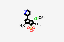 CC1=C2C(=CC(C)=C2S(=O)(=O)O)C(c2cccnc2)=C1.[Cl-].[Cl-].[Zr+2]